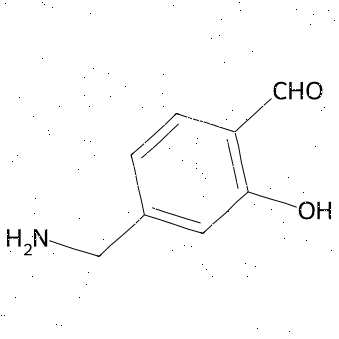 NCc1ccc(C=O)c(O)c1